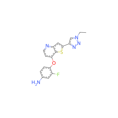 CCn1cc(-c2cc3nccc(Oc4ccc(N)cc4F)c3s2)nn1